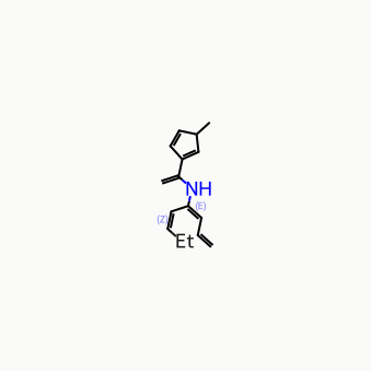 C=C/C=C(\C=C/CC)NC(=C)C1=CC(C)C=C1